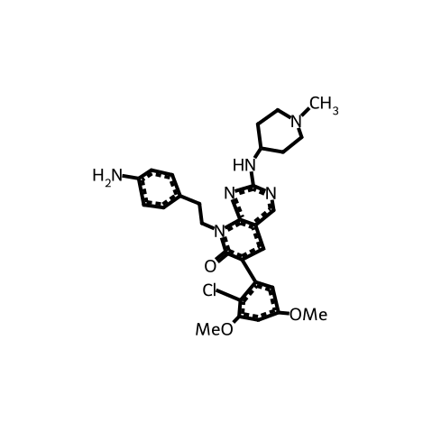 COc1cc(OC)c(Cl)c(-c2cc3cnc(NC4CCN(C)CC4)nc3n(CCc3ccc(N)cc3)c2=O)c1